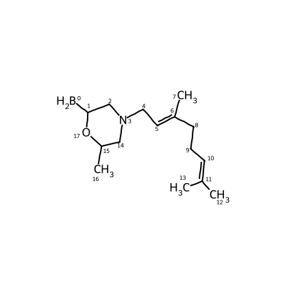 BC1CN(C/C=C(\C)CCC=C(C)C)CC(C)O1